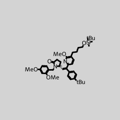 COc1ccc(CN2C(=O)CC[C@@H]2C=C(c2ccc(C(C)(C)C)cc2)c2ccc(CCCCO[Si](C)(C)C(C)(C)C)c(OC)n2)c(OC)c1